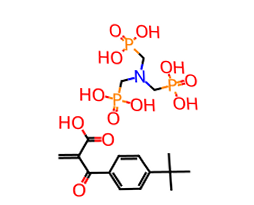 C=C(C(=O)O)C(=O)c1ccc(C(C)(C)C)cc1.O=P(O)(O)CN(CP(=O)(O)O)CP(=O)(O)O